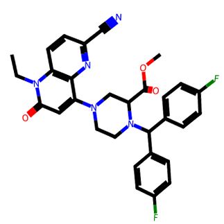 CCn1c(=O)cc(N2CCN(C(c3ccc(F)cc3)c3ccc(F)cc3)C(C(=O)OC)C2)c2nc(C#N)ccc21